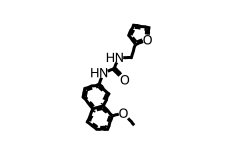 COc1cccc2ccc(NC(=O)NCc3ccco3)cc12